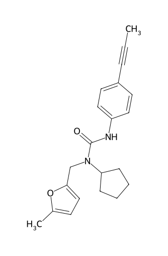 CC#Cc1ccc(NC(=O)N(Cc2ccc(C)o2)C2CCCC2)cc1